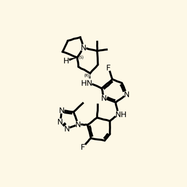 Cc1nnnn1C1=C(F)C=CC(Nc2ncc(F)c(N[C@@H]3C[C@@H]4CCCN4C(C)(C)C3)n2)C1C